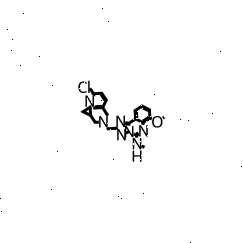 CNc1nc2c(OC)cccc2c2nc(CN(Cc3ccc(Cl)nc3)CC3CC3)nn12